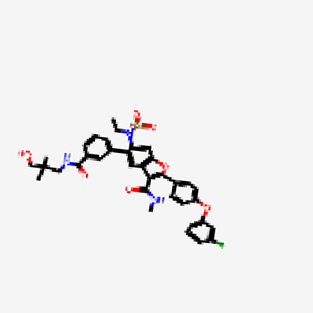 CCN(c1cc2oc(-c3ccc(Oc4cccc(F)c4)cc3)c(C(=O)NC)c2cc1-c1cccc(C(=O)NCC(C)(C)CO)c1)[SH](=O)=O